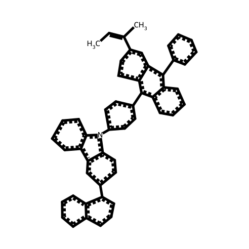 C/C=C(/C)c1ccc2c(-c3ccc(-n4c5ccccc5c5cc(-c6cccc7ccccc67)ccc54)cc3)c3ccccc3c(-c3ccccc3)c2c1